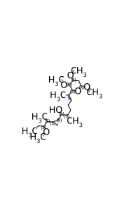 CC[C@H](OC)[C@@H](C)[C@@H]1C[C@H]1[C@H](O)[C@@H](C)CC/C=C(\C)[C@@H]1O[C@@H](OC)C[C@H](OC)[C@H]1OC